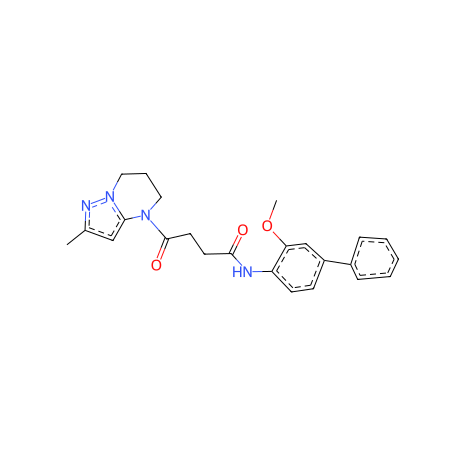 COc1cc(-c2ccccc2)ccc1NC(=O)CCC(=O)N1CCCn2nc(C)cc21